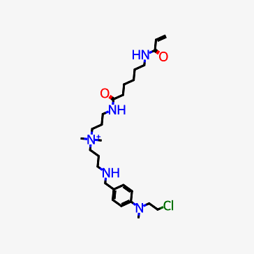 C=CC(=O)NCCCCCC(=O)NCCC[N+](C)(C)CCCNCc1ccc(N(C)CCCl)cc1